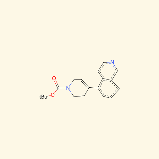 CC(C)(C)OC(=O)N1CC=C(c2cccc3cnccc23)CC1